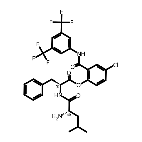 CC(C)C[C@H](N)C(=O)N[C@@H](Cc1ccccc1)C(=O)Oc1ccc(Cl)cc1C(=O)Nc1cc(C(F)(F)F)cc(C(F)(F)F)c1